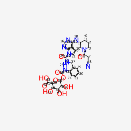 C[C@@H]1CCN(C(=O)CC#N)C[C@@H]1N(C)c1ncnc2c1ccn2C(=O)N(C)Cc1ccccc1NC(=O)O[C@@H]1O[C@H](C(=O)O)[C@@H](O)[C@H](O)[C@H]1O